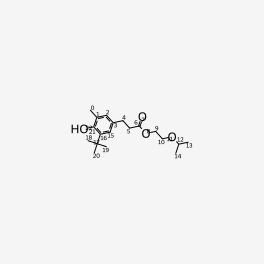 Cc1cc(CCC(=O)OCCOC(C)C)cc(C(C)(C)C)c1O